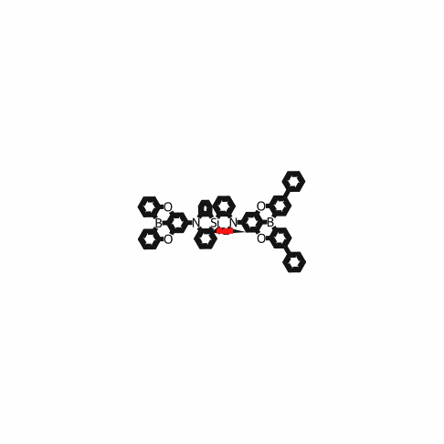 c1ccc(-c2ccc3c(c2)Oc2cc(N4c5ccccc5[Si]5(c6ccccc6N(c6cc7c8c(c6)Oc6ccccc6B8c6ccccc6O7)c6ccccc65)c5ccccc54)cc4c2B3c2ccc(-c3ccccc3)cc2O4)cc1